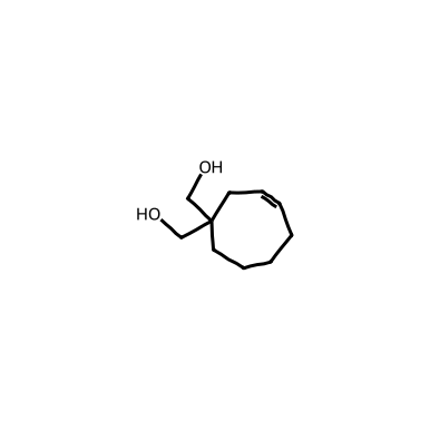 OCC1(CO)CC=CCCCC1